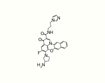 NC1CCN(c2c(F)cc3c(=O)c(C(=O)NCCCn4ccnc4)cn4c3c2Oc2cc3ccccc3cc2-4)C1